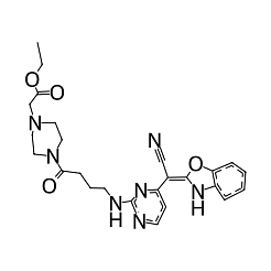 CCOC(=O)CN1CCN(C(=O)CCCNc2nccc(/C(C#N)=C3\Nc4ccccc4O3)n2)CC1